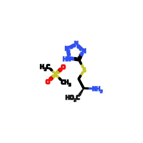 CS(C)(=O)=O.N[C@@H](CSc1nnn[nH]1)C(=O)O